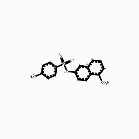 Cc1ccc(S(=O)(=O)Oc2ccc3c(C(=O)O)cccc3c2)cc1